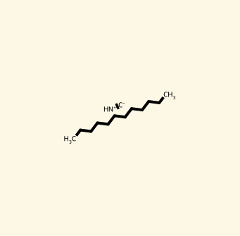 CCCCCCCCCCCC.[C-]#[NH+]